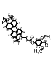 COc1cc(OC(=O)CCCc2ccc3c4ccc(C(F)(F)F)c5c(C(F)(F)F)ccc(c6ccc(C(F)(F)F)c2c36)c54)cc(OC)c1C=O